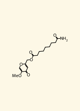 COc1coc(COC(=O)CCCCCCCC(N)=O)cc1=O